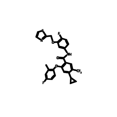 Cc1cc(F)ccc1Oc1cc(C2CC2)c(C(F)(F)F)cc1C(=O)Nc1ccc(F)c(OCc2nccs2)c1